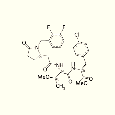 COC(=O)[C@H](Cc1ccc(Cl)cc1)NC(=O)[C@@H](NC(=O)C[C@@H]1CCC(=O)N1Cc1cccc(F)c1F)[C@@H](C)OC